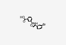 O=C(O)c1cccc(C2NC(c3cccc(Br)c3)=CO2)c1